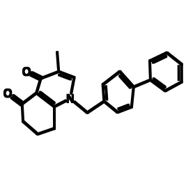 Cc1cn(Cc2ccc(-c3ccccc3)cc2)c2c(c1=O)C(=O)CCC2